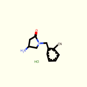 Cl.N#Cc1ccccc1CN1CC(N)CC1=O